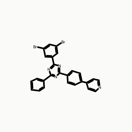 Brc1cc(Br)cc(-c2nc(-c3ccccc3)nc(-c3ccc(-c4ccncc4)cc3)n2)c1